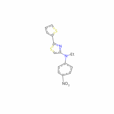 CCN(c1ccc([N+](=O)[O-])cc1)c1csc(-c2cccs2)n1